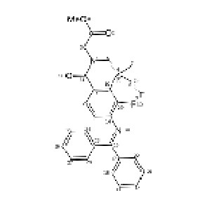 COC(=O)CN1C[C@@]2(C[C@@H]2F)c2c(ccc(N=C(c3ccccc3)c3ccccc3)c2F)C1=O